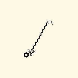 CCCCCCCCCCCCCCCCCCNS(=O)(=O)c1ccccc1